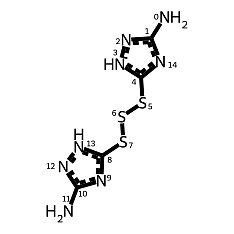 Nc1n[nH]c(SSSc2nc(N)n[nH]2)n1